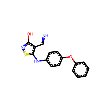 N=Cc1c(O)nsc1Nc1ccc(Oc2ccccc2)cc1